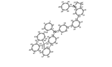 c1ccc(N(c2ccc(-c3cccc(-c4ccc5c6ccccc6n(-c6ccccc6)c5c4)c3)cc2)c2ccc3c(c2)C(c2ccccc2)(c2ccccc2)c2ccccc2-3)cc1